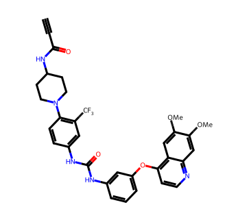 C#CC(=O)NC1CCN(c2ccc(NC(=O)Nc3cccc(Oc4ccnc5cc(OC)c(OC)cc45)c3)cc2C(F)(F)F)CC1